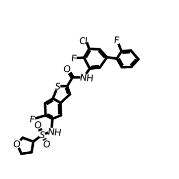 O=C(Nc1cc(-c2ccccc2F)cc(Cl)c1F)c1cc2cc(NS(=O)(=O)C3CCOC3)c(F)cc2s1